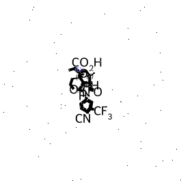 C/C(C(=O)O)=C1/C[C@@]2(C)O[C@@]13CCO[C@H]1[C@@H]3[C@@H]2C(=O)N1c1ccc(C#N)c(C(F)(F)F)c1